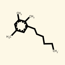 [CH2]CCCCCc1cc(C)cc(C)c1C